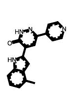 Cc1cccc2[nH]c(-c3cc(-c4ccncc4)n[nH]c3=O)cc12